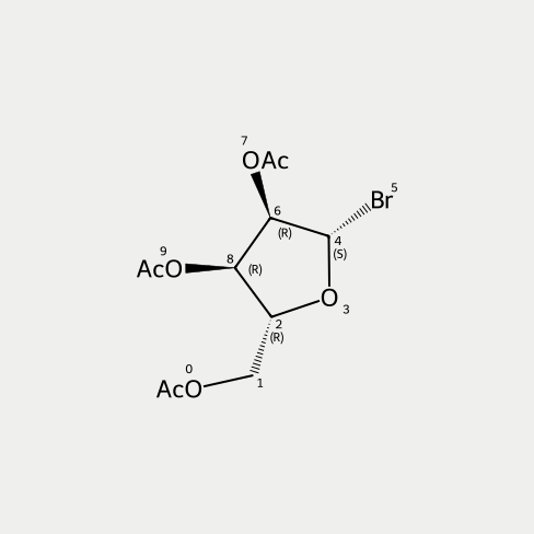 CC(=O)OC[C@H]1O[C@@H](Br)[C@H](OC(C)=O)[C@@H]1OC(C)=O